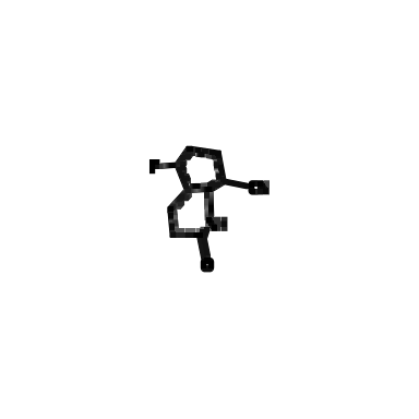 N#Cc1ccc(F)c2ccc(=O)[nH]c12